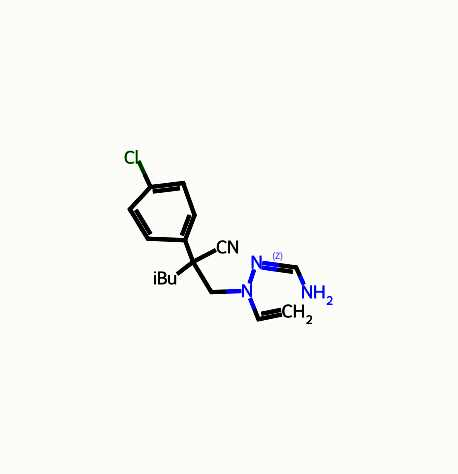 C=CN(CC(C#N)(c1ccc(Cl)cc1)C(C)CC)/N=C\N